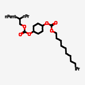 CCCCCC(CCC)COC(=O)OC1CCC(OC(=O)OCCCCCCCCCC(C)C)CC1